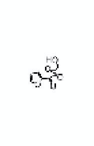 O=C(c1ccco1)S(=O)(=O)CO